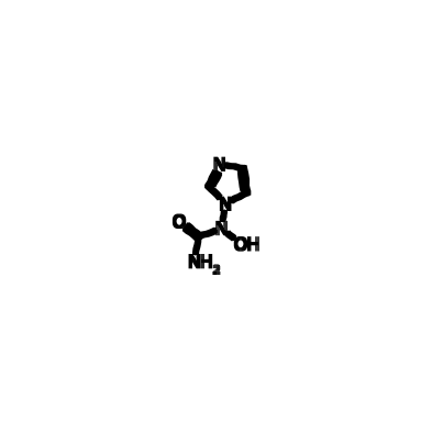 NC(=O)N(O)n1ccnc1